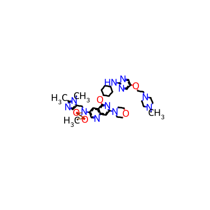 Cc1ncc(CN(c2cnc3cc(N4CCOCC4)nc(O[C@H]4CC[C@@H](Nc5ncc(OCCN6CCN(C)CC6)cn5)CC4)c3c2)S(C)(=O)=O)n1C